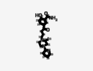 NC(=O)c1cc(C(=O)CCCN2CCN(c3ccccn3)CC2I)ccc1O